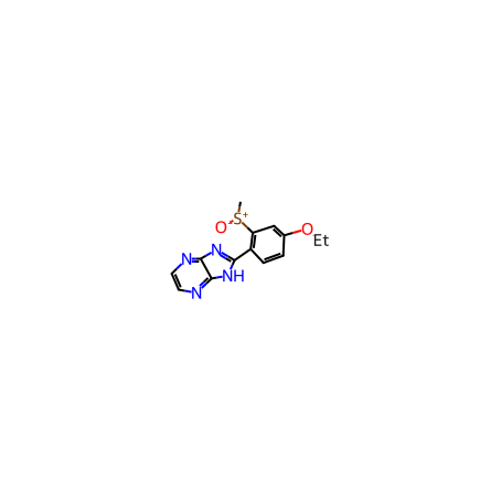 CCOc1ccc(-c2nc3nccnc3[nH]2)c([S+](C)[O-])c1